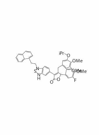 COc1ccc([C]2OC(=O)C(c3ccc4c(c3)NSN4CCc3cccc4ccccc34)=C2Cc2cc(OC)c(OC)c(OC(C)C)c2)cc1F